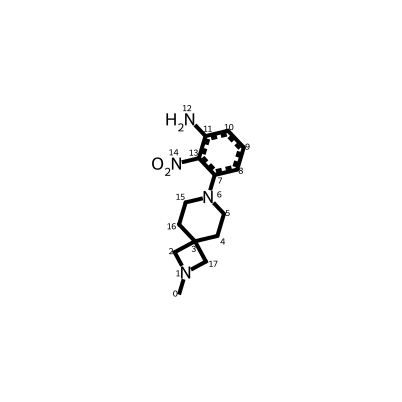 CN1CC2(CCN(c3cccc(N)c3[N+](=O)[O-])CC2)C1